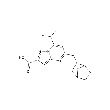 CC(C)c1cc(CC2CC3CCC2C3)nc2cc(C(=O)O)nn12